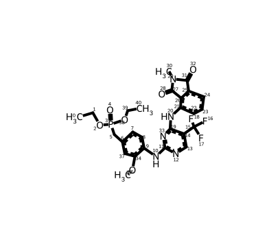 CCOP(=O)(Cc1ccc(Nc2ncc(C(F)(F)F)c(Nc3cccc4c3C(=O)N(C)C4=O)n2)c(OC)c1)OCC